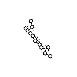 Cc1ccc(-c2ccccc2)cc1N(c1ccc2cc3c(cc2c1)oc1c3ccc2c3cc4ccc(N(c5cc(-c6ccccc6)ccc5C)c5c(C)cccc5C)cc4cc3oc21)c1c(C)cccc1C